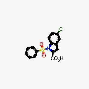 O=C(O)c1cc2cc(Cl)ccc2n1S(=O)(=O)c1ccccc1